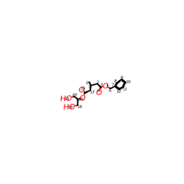 CC(CC(=O)OCc1ccccc1)CC(=O)OC(CO)CO